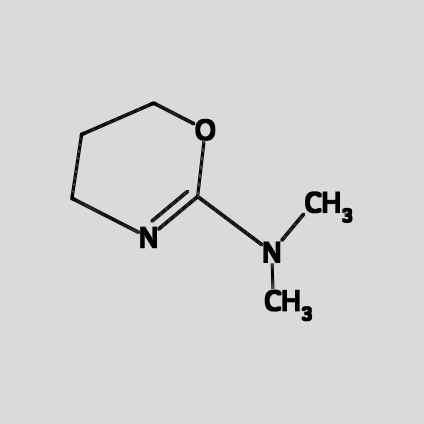 CN(C)C1=NCCCO1